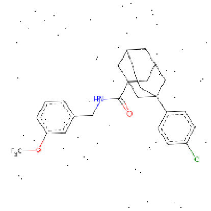 O=C(NCc1cccc(OC(F)(F)F)c1)C12CC3CC(C1)CC(c1ccc(Cl)cc1)(C3)C2